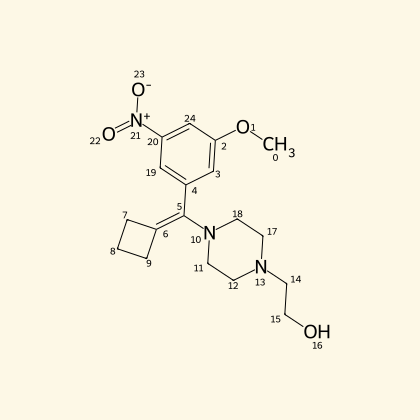 COc1cc(C(=C2CCC2)N2CCN(CCO)CC2)cc([N+](=O)[O-])c1